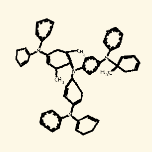 CC1C=C(N(C2=CCCC=C2)c2ccccc2)CC(C)C1N(c1ccc(N(c2ccccc2)C2(C)C=CC=CC2)cc1)C1C=CC(N(C2=CCCC=C2)c2ccccc2)=CC1